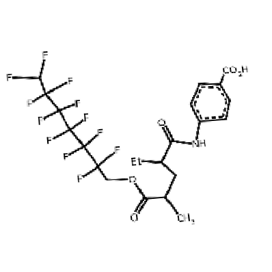 CCC(CC(C)C(=O)OCC(F)(F)C(F)(F)C(F)(F)C(F)(F)C(F)(F)C(F)F)C(=O)Nc1ccc(C(=O)O)cc1